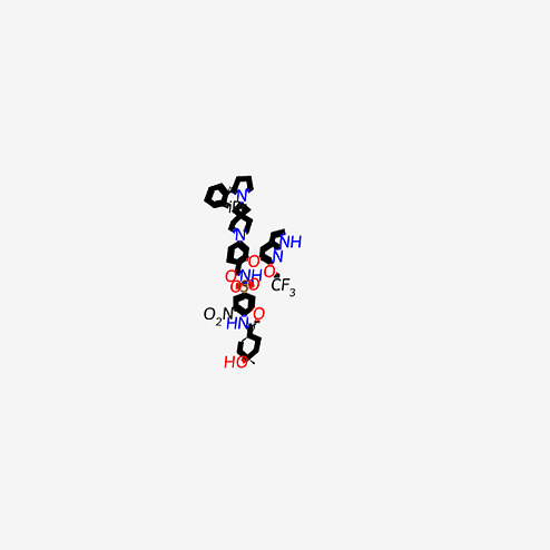 CC(C)c1ccccc1[C@H]1CCCN1C1CC2(CCN(c3ccc(C(=O)NS(=O)(=O)c4cc5c(c([N+](=O)[O-])c4)N[C@@H]([C@H]4CC[C@](C)(O)CC4)CO5)c(Oc4cc5cc[nH]c5nc4OCC(F)(F)F)c3)CC2)C1